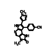 Cn1cc(-c2[nH]c3ncc4c([nH]c(=O)n4C)c3c2-c2ccc(C#N)cc2)cn1